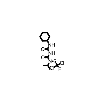 CC(C)N(SC(F)(Cl)Cl)C(=O)NC(=O)NC1CCCCC1